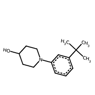 CC(C)(C)c1cccc(N2CCC(O)CC2)c1